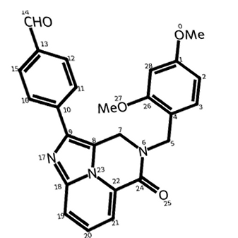 COc1ccc(CN2Cc3c(-c4ccc(C=O)cc4)nc4cccc(n34)C2=O)c(OC)c1